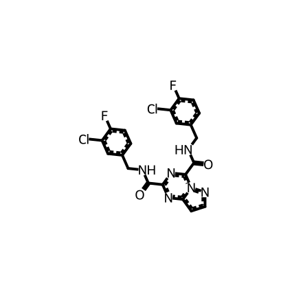 O=C(NCc1ccc(F)c(Cl)c1)c1nc(C(=O)NCc2ccc(F)c(Cl)c2)n2nccc2n1